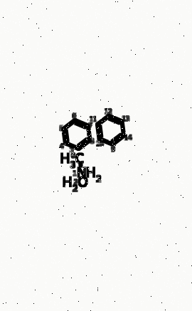 CN.O.c1ccccc1.c1ccccc1